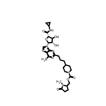 CN1C(=O)CCC1COC(=O)N1CCC(CCCc2nc(N)c3ncn([C@@H]4O[C@H](C(=O)NC5CC5)C(O)[C@@H]4O)c3n2)CC1